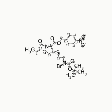 CC=C1C(=O)N2C(C(=O)OCc3ccc([N+](=O)[O-])cc3)=C(SCCN(Br)C(=O)OC(C)(C)C)CC12